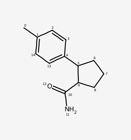 Cc1ccc(C2CCCC2C(N)=O)cc1